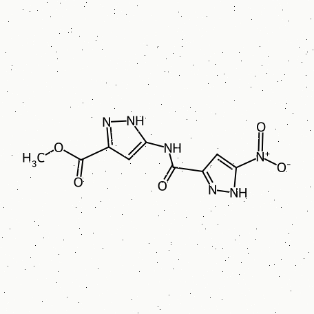 COC(=O)c1cc(NC(=O)c2cc([N+](=O)[O-])[nH]n2)[nH]n1